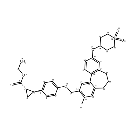 CCOC(=O)[C@H]1C[C@@H]1c1ccc(OCc2cc3c(cc2F)CCCc2cc(OC4CCS(=O)(=O)CC4)ccc2-3)cc1